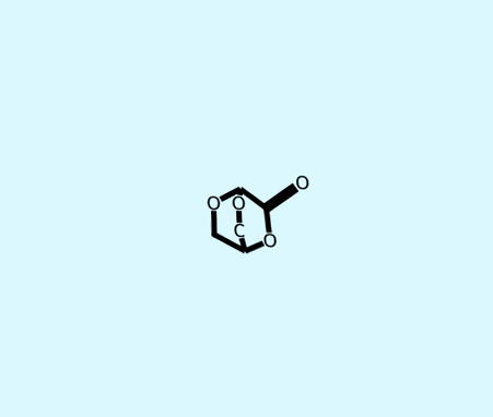 O=C1OC2COC1OC2